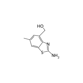 Cc1cc(CO)c2nc(N)sc2c1